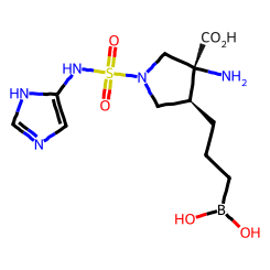 N[C@@]1(C(=O)O)CN(S(=O)(=O)Nc2cnc[nH]2)C[C@@H]1CCCB(O)O